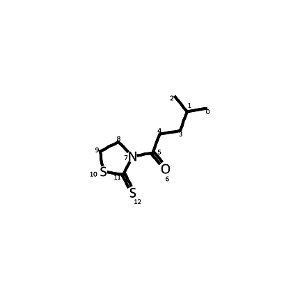 CC(C)CCC(=O)N1CCSC1=S